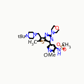 COc1ncc(-c2nc(N3CCOCC3)nc3c(CN4CCN(C(C)(C)C)CC4)c(C)sc23)cc1NS(C)(=O)=O